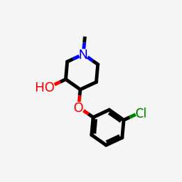 CN1CCC(Oc2cccc(Cl)c2)C(O)C1